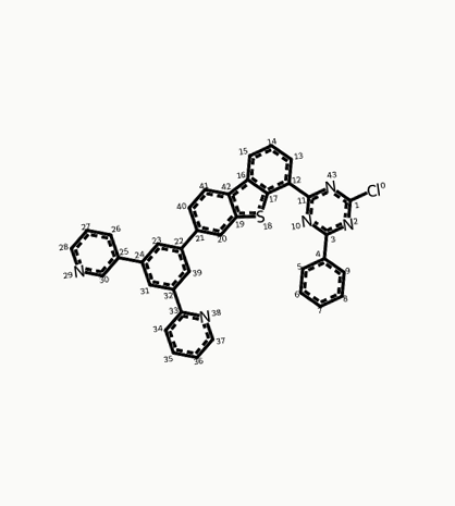 Clc1nc(-c2ccccc2)nc(-c2cccc3c2sc2cc(-c4cc(-c5cccnc5)cc(-c5ccccn5)c4)ccc23)n1